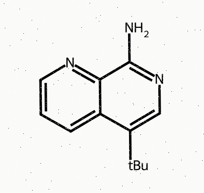 CC(C)(C)c1cnc(N)c2ncccc12